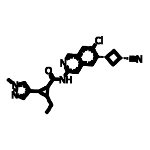 CCC1C(C(=O)Nc2cc3cc([C@H]4C[C@@H](C#N)C4)c(Cl)cc3cn2)C1c1cnn(C)c1